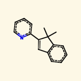 CC1(C)C(c2ccccn2)=Cc2ccccc21